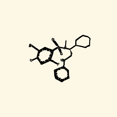 CN([C@@H](CNc1ccccc1)C1CCCCC1)S(=O)(=O)c1cc(Br)c(Cl)cc1F